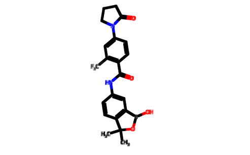 CC1(C)OB(O)c2cc(NC(=O)c3ccc(N4CCCC4=O)cc3C(F)(F)F)ccc21